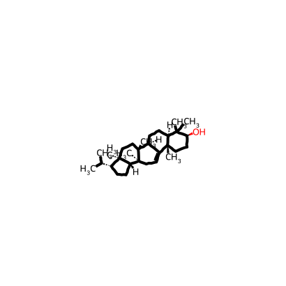 CC(C)[C@H]1CC[C@@H]2[C@]1(C)CC[C@]1(C)[C@H]3CC[C@H]4C(C)(C)[C@@H](O)CC[C@]4(C)C3=CC[C@@]21C